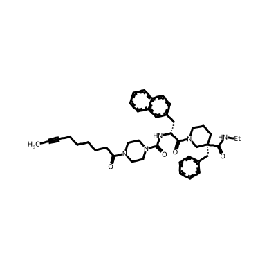 CC#CCCCCCC(=O)N1CCN(C(=O)N[C@H](Cc2ccc3ccccc3c2)C(=O)N2CCC[C@@](Cc3ccccc3)(C(=O)NCC)C2)CC1